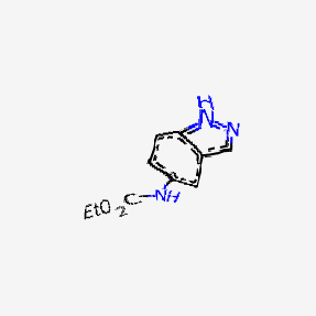 CCOC(=O)Nc1ccc2[nH]ncc2c1